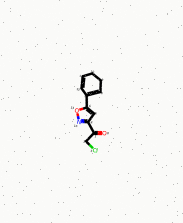 O=C(CCl)c1cc(C2=CCCC=C2)on1